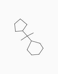 CC(C)(C1CCCCC1)C1CCCC1